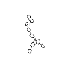 c1ccc(-c2ccc3c(c2)c2cc(-c4ccccc4)ccc2n3-c2ccc(-c3ccc(-c4cccc5c4Oc4cccc6c7ccccc7n-5c46)cc3)cc2)cc1